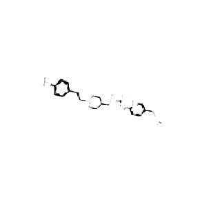 COCc1ccc(NC(=O)N(C)CC2CCN(CC(=O)c3ccc(F)cc3)CC2)nc1